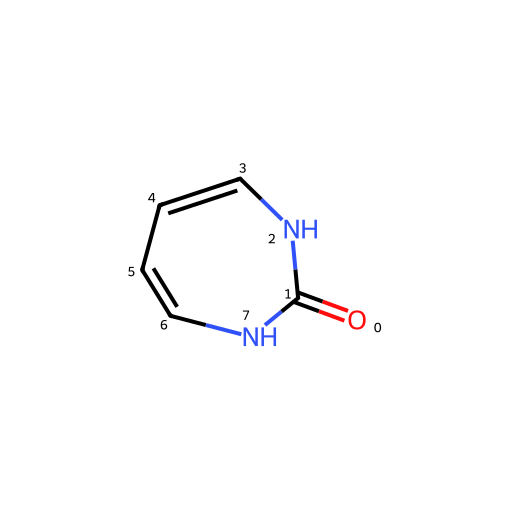 O=C1NC=CC=CN1